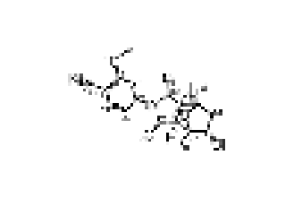 COc1cc(N2C(=O)[C@@H]3[C@H](C2=O)C2(C)C[C@H](O)C3(C)O2)ccc1C#N